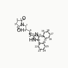 O=C1CCC(O)N1CCCSc1nc(-c2ccccc2)c(-c2ccccc2)[nH]1